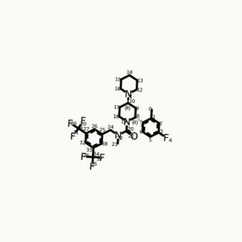 Cc1cc(F)ccc1[C@H]1C[C@H](N2CCCCC2)CCN1C(=O)N(C)Cc1cc(C(F)(F)F)cc(C(F)(F)F)c1